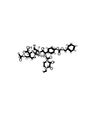 CCN1CCN(C(=O)NC(C(=O)N[C@]2(C)C(=S)N3C(C(=O)O)=C(COC(C)=O)CS[C@H]32)c2ccc(OC(=O)OCc3ccccc3)cc2)C(=O)C1=O